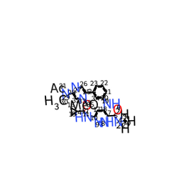 [2H]C([2H])([2H])NC(=O)c1nnc(NC(=O)C2CC2)cc1Nc1cccc(-c2cnc(N(C)C(C)=O)cn2)c1OC